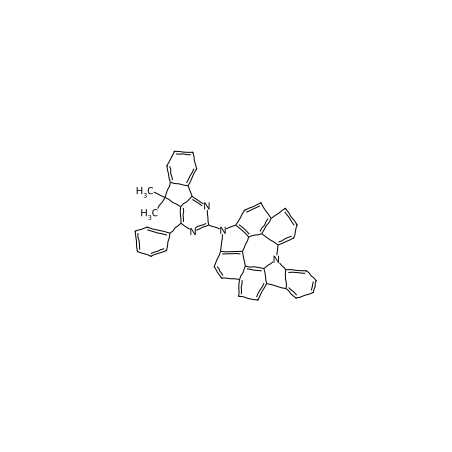 CC1(C)c2ccccc2-c2nc(-n3c4ccc5cccc6c5c4c4c5c(ccc7c8ccccc8n6c75)ccc43)nc(-c3ccccc3)c21